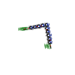 Cl.Cl.Cl.Cl.Cl.Cl.Cl.Cl.Cl.Cl.c1ccncc1.c1ccncc1.c1ccncc1.c1ccncc1.c1ccncc1.c1ccncc1.c1ccncc1.c1ccncc1.c1ccncc1.c1ccncc1